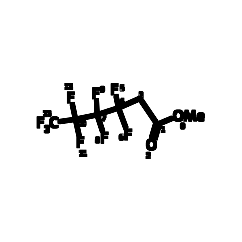 COC(=O)CC(F)(F)C(F)(F)C(F)(F)C(F)(F)F